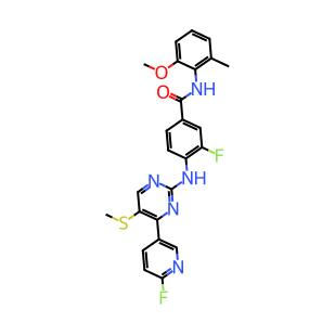 COc1cccc(C)c1NC(=O)c1ccc(Nc2ncc(SC)c(-c3ccc(F)nc3)n2)c(F)c1